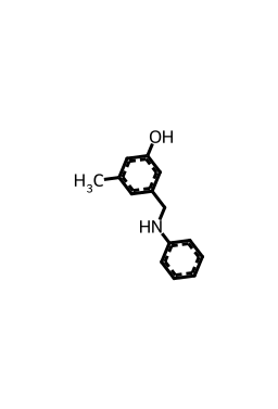 Cc1cc(O)cc(CNc2ccccc2)c1